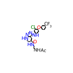 CC(=O)NCCNC(=O)C1=Cc2c(ncnc2Nc2ccc(Oc3cccc(C(F)(F)F)c3)c(Cl)c2)NCC1